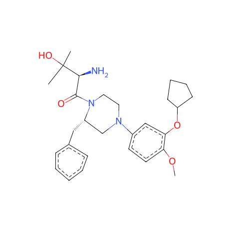 COc1ccc(N2CCN(C(=O)[C@H](N)C(C)(C)O)[C@@H](Cc3ccccc3)C2)cc1OC1CCCC1